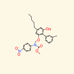 CCCCCc1cc(O)c(-c2cccc(C)c2)c(OCN(C(=O)OC)c2ccc([N+](=O)[O-])cc2)c1